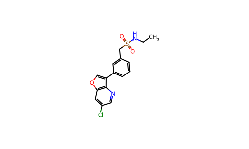 CCNS(=O)(=O)Cc1cccc(-c2coc3cc(Cl)cnc23)c1